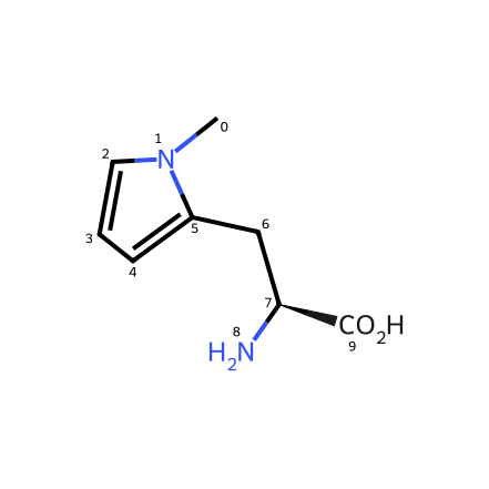 Cn1cccc1C[C@H](N)C(=O)O